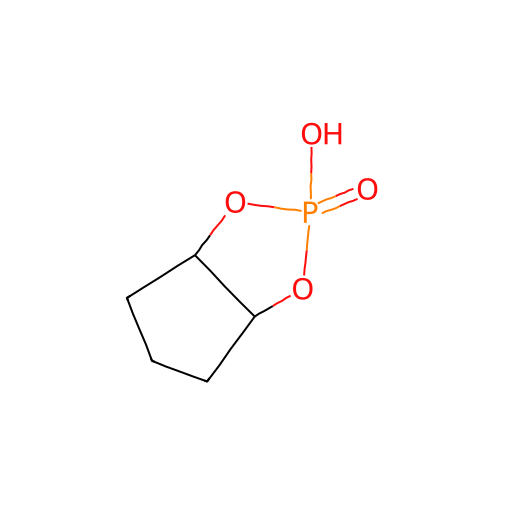 O=P1(O)OC2CCCC2O1